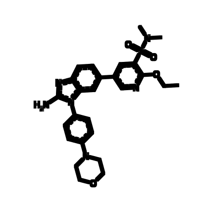 CCOc1ncc(-c2ccc3nc(N)n(-c4ccc(N5CCOCC5)cc4)c3c2)cc1S(=O)(=O)N(C)C